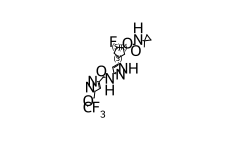 Cn1nc(COC(F)(F)F)cc1C(=O)Nc1cc([C@@H]2C[C@H](F)[C@H](OC(=O)NC3(C)CC3)C2)[nH]n1